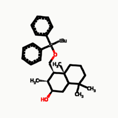 C[C@H]1[C@H](O)CC2C(C)(C)CCC[C@]2(C)[C@H]1CO[Si](c1ccccc1)(c1ccccc1)C(C)(C)C